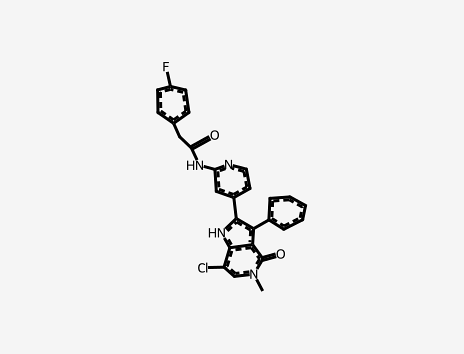 Cn1cc(Cl)c2[nH]c(-c3ccnc(NC(=O)Cc4ccc(F)cc4)c3)c(-c3ccccc3)c2c1=O